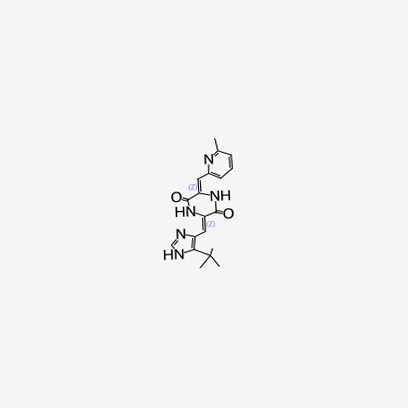 Cc1cccc(/C=c2\[nH]c(=O)/c(=C/c3nc[nH]c3C(C)(C)C)[nH]c2=O)n1